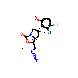 COc1ccc(Cl)c(Cl)c1[C@H]1C[C@H]2C(CN=[N+]=[N-])OC(=O)N2C1